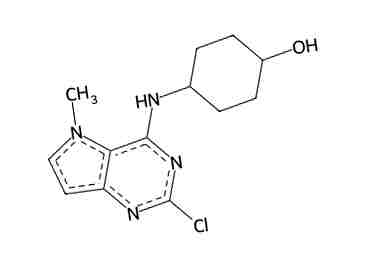 Cn1ccc2nc(Cl)nc(NC3CCC(O)CC3)c21